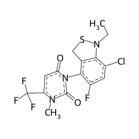 CCN1SCc2c1c(Cl)cc(F)c2-n1c(=O)cc(C(F)(F)F)n(C)c1=O